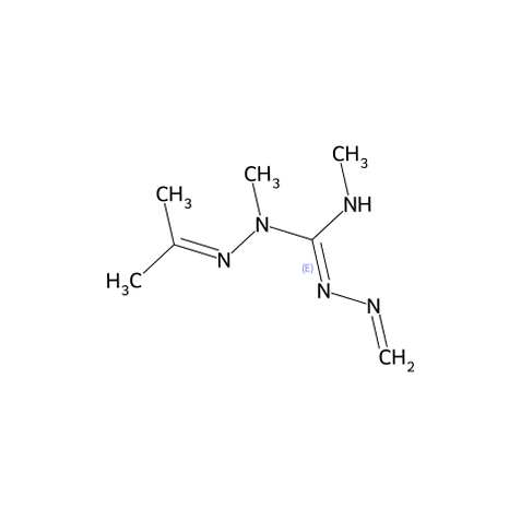 C=N/N=C(\NC)N(C)N=C(C)C